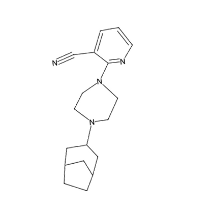 N#Cc1cccnc1N1CCN(C2CC3CCC(C3)C2)CC1